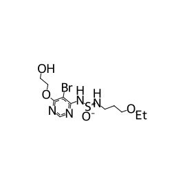 CCOCCCN[S+]([O-])Nc1ncnc(OCCO)c1Br